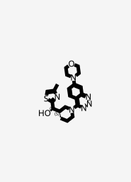 Cc1csc([C@H](O)[C@H]2CCCN(c3nnnc4cc(N5CCOCC5)ccc34)C2)n1